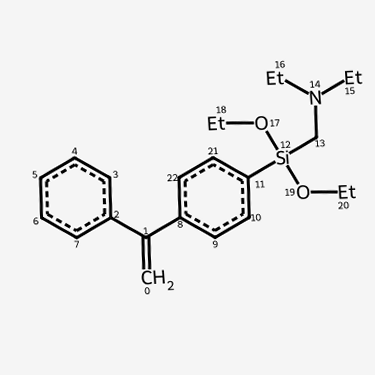 C=C(c1ccccc1)c1ccc([Si](CN(CC)CC)(OCC)OCC)cc1